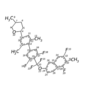 Cc1cc(C2CCC(C)CO2)cc(C)c1-c1cc(F)c(C(F)(F)Oc2ccc3c(F)c(C)c(F)cc3c2)c(F)c1